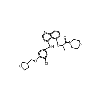 C[C@@H](Oc1cccc2ncnc(Nc3ccc(OCC4CCOC4)c(Cl)c3)c12)C(=O)N1CCOCC1